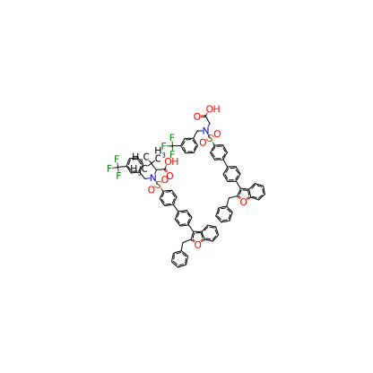 CC(C)(C)C(C(=O)O)N(Cc1cccc(C(F)(F)F)c1)S(=O)(=O)c1ccc(-c2ccc(-c3c(Cc4ccccc4)oc4ccccc34)cc2)cc1.O=C(O)CN(Cc1cccc(C(F)(F)F)c1)S(=O)(=O)c1ccc(-c2ccc(-c3c(Cc4ccccc4)oc4ccccc34)cc2)cc1